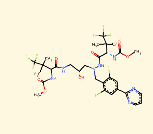 COC(=O)NC(C(=O)NC[C@@H](O)CN(Cc1c(F)cc(-c2ncccn2)cc1F)NC(=O)[C@@H](NC(=O)OC)C(C)(C)C(F)(F)F)C(C)(C)C(F)(F)F